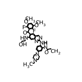 C=CC(=O)Nc1cc(N2CCN(CC)CC2)ccc1Nc1ncc2cc(C(=O)c3c(F)c(OC)cc(OC)c3F)c(NCCO)cc2n1